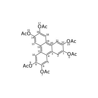 CC(=O)Oc1cc2c3cc(OC(C)=O)c(OC(C)=O)cc3c3cc(OC(C)=O)c(OC(C)=O)cc3c2cc1OC(C)=O